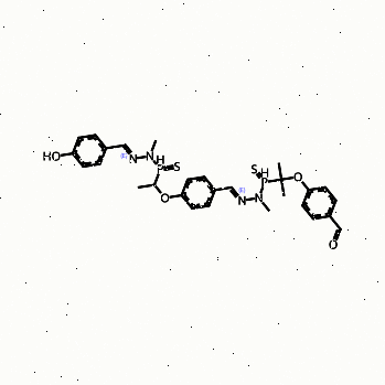 CC(Oc1ccc(/C=N/N(C)[PH](=S)C(C)(C)Oc2ccc(C=O)cc2)cc1)[PH](=S)N(C)/N=C/c1ccc(O)cc1